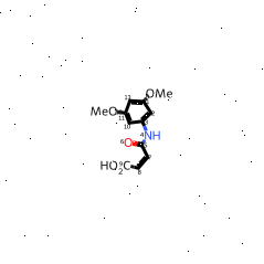 COc1cc(NC(=O)/C=C\C(=O)O)cc(OC)c1